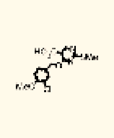 COc1ccc(COc2nc(SC)ncc2C(=O)O)cc1Cl